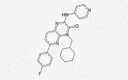 O=c1c(Nc2ccncc2)nc2ccc(-c3ccc(F)cc3)nc2n1CC1CCCCC1